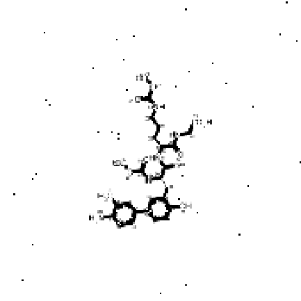 Cc1cc(-c2ccc(O)c(C[C@H](NC(=O)OC(C)(C)C)C(=O)N[C@@H](CCCNC(=O)OC(C)(C)C)C(=O)NCC(=O)O)c2)ccc1N